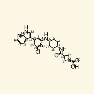 O=C(N[C@H]1CC[C@H](Nc2cc(-c3c[nH]c4ncccc34)cc(Cl)n2)CC1)C1CN(C(=O)O)C1